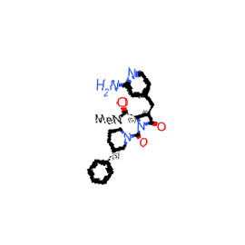 CNC(=O)[C@@H]1[C@@H](Cc2ccnc(N)c2)C(=O)N1C(=O)N1CCC[C@@H](c2ccccc2)C1